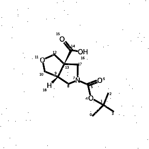 CC(C)(C)OC(=O)N1C[C@@H]2COC[C@]2(C(=O)O)C1